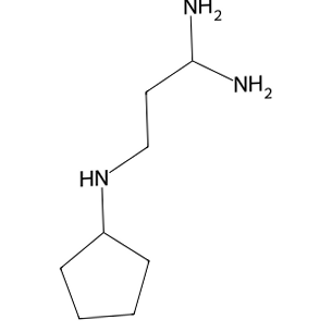 NC(N)CCNC1CCCC1